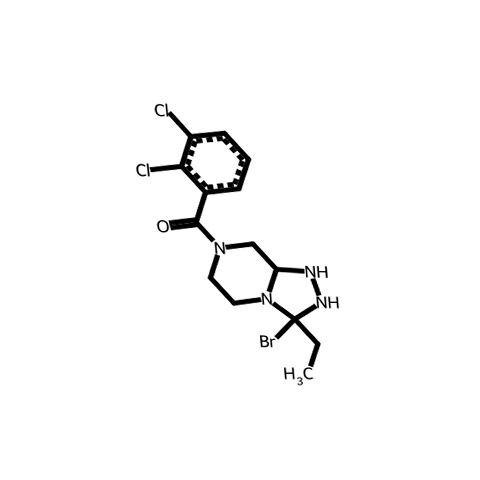 CCC1(Br)NNC2CN(C(=O)c3cccc(Cl)c3Cl)CCN21